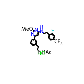 COc1nc(NCCc2ccc(C(F)(F)F)cc2F)cc(-c2cccc(CCNC(C)=O)c2)n1.Cl